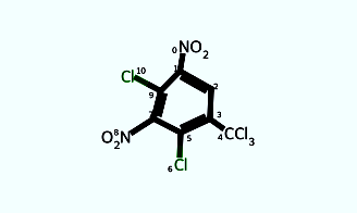 O=[N+]([O-])c1cc(C(Cl)(Cl)Cl)c(Cl)c([N+](=O)[O-])c1Cl